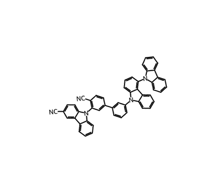 N#Cc1ccc2c(c1)c1ccccc1n2-c1cc(-c2cccc(-n3c4ccccc4c4c(-n5c6ccccc6c6ccccc65)cccc43)c2)ccc1C#N